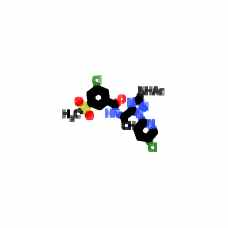 CC(=O)Nc1nc(C(C)NC(=O)c2cc(Cl)cc(S(C)(=O)=O)c2)n(-c2ccc(Cl)cn2)n1